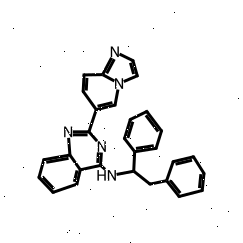 c1ccc(CC(Nc2nc(-c3ccc4nccn4c3)nc3ccccc23)c2ccccc2)cc1